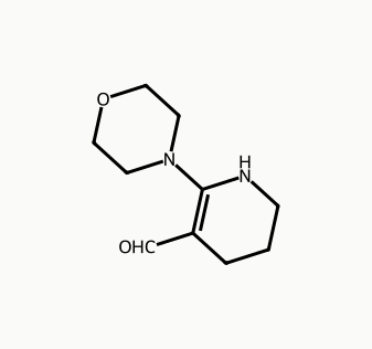 O=CC1=C(N2CCOCC2)NCCC1